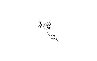 CCOC(=O)CC[C@H](CSCc1ccc(OC)cc1)NC(=O)OC(C)(C)C